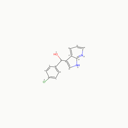 OC(c1ccc(Cl)cc1)c1c[nH]c2ncccc12